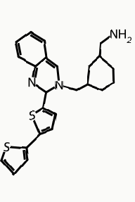 NCC1CCCC(CN2C=c3ccccc3=NC2c2ccc(-c3cccs3)s2)C1